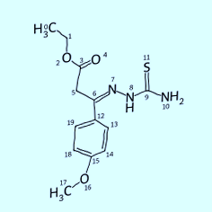 CCOC(=O)C/C(=N/NC(N)=S)c1ccc(OC)cc1